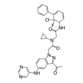 CC(=O)c1nn(CC(=O)N(CC(=O)NC2C=CC=C(c3ccccc3)C2(F)Cl)C2CC2)c2ccc(Nc3cncnc3)cc12